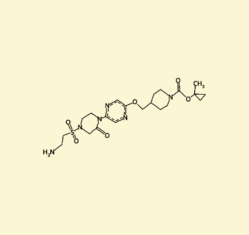 CC1(OC(=O)N2CCC(COc3cnc(N4CCN(S(=O)(=O)CCN)CC4=O)cn3)CC2)CC1